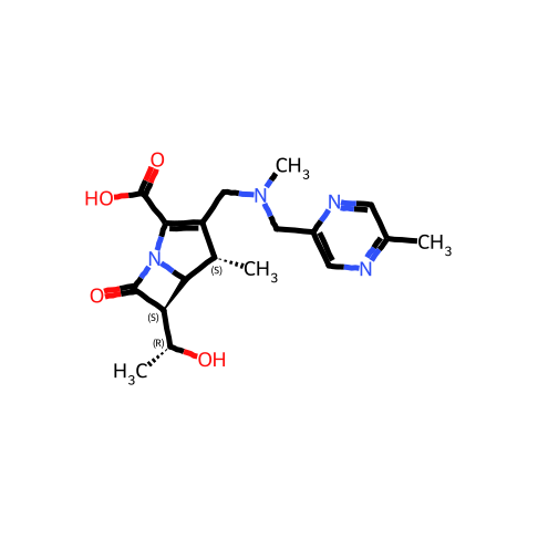 Cc1cnc(CN(C)CC2=C(C(=O)O)N3C(=O)[C@H]([C@@H](C)O)C3[C@H]2C)cn1